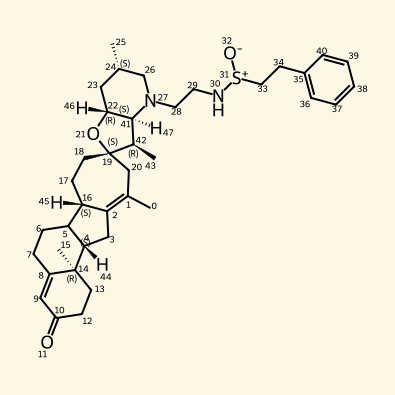 CC1=C2C[C@H]3C(CCC4=CC(=O)CC[C@@]43C)[C@@H]2CC[C@@]2(C1)O[C@@H]1C[C@H](C)CN(CCN[S+]([O-])CCc3ccccc3)[C@H]1[C@H]2C